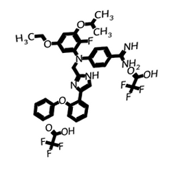 CCOc1cc(OC(C)C)c(F)c(N(Cc2nc(-c3ccccc3Oc3ccccc3)c[nH]2)c2ccc(C(=N)N)cc2)c1.O=C(O)C(F)(F)F.O=C(O)C(F)(F)F